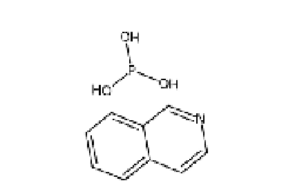 OP(O)O.c1ccc2cnccc2c1